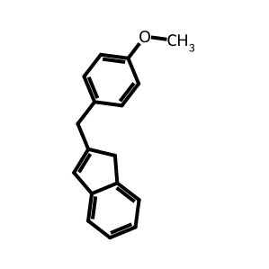 COc1ccc(CC2=Cc3ccccc3C2)cc1